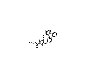 CCCCC(=O)c1nc(Cc2ccc(-c3ccccc3-c3nnn[nH]3)nc2)n(CCC)n1